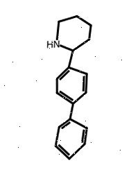 c1ccc(-c2ccc(C3CCCCN3)cc2)cc1